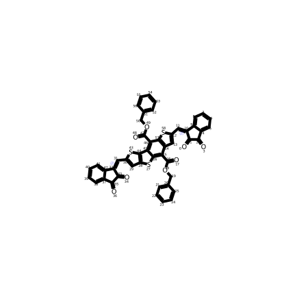 O=C1C(=O)c2ccccc2/C1=C/c1cc2c(C(=O)OCc3ccccc3)c3sc4cc(/C=C5\C(=O)C(=O)c6ccccc65)sc4c3c(C(=O)OCc3ccccc3)c2s1